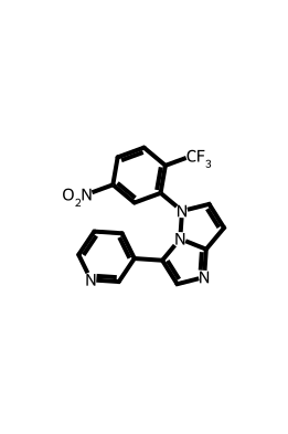 O=[N+]([O-])c1ccc(C(F)(F)F)c(-n2ccc3ncc(-c4cccnc4)n32)c1